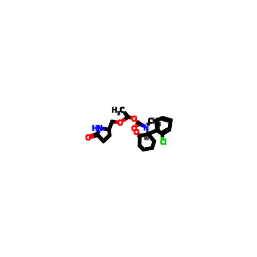 CC(OCC1CCC(=O)N1)OC(=O)N(C)[C@]1(c2ccccc2Cl)CCCCC1=O